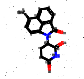 O=Cc1ccc2c3c(cccc13)C(=O)N2C1CCC(=O)NC1=O